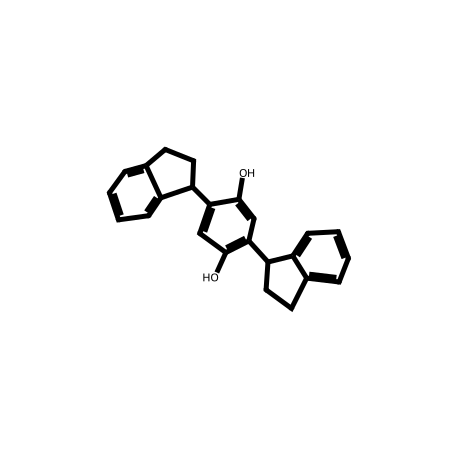 Oc1cc(C2CCc3ccccc32)c(O)cc1C1CCc2ccccc21